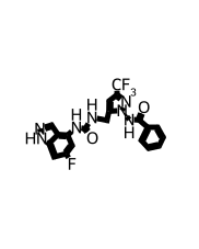 O=C(NCc1cc(C(F)(F)F)nn1NC(=O)c1ccccc1)Nc1cc(F)cc2[nH]ncc12